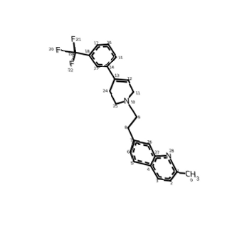 Cc1ccc2ccc(CCN3CC=C(c4cccc(C(F)(F)F)c4)CC3)cc2n1